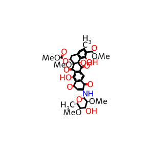 COC(=O)O[C@@H]1Cc2cc(C)c(C(=O)OC)c(O)c2[C@]2(O)C(=O)c3cc4c(c(O)c3C(=O)[C@]12OC)C(=O)C=C(N[C@H]1O[C@@H](C)[C@H](OC)[C@@H](O)[C@H]1OC)C4=O